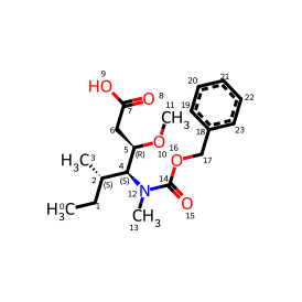 CC[C@H](C)[C@@H]([C@@H](CC(=O)O)OC)N(C)C(=O)OCc1ccccc1